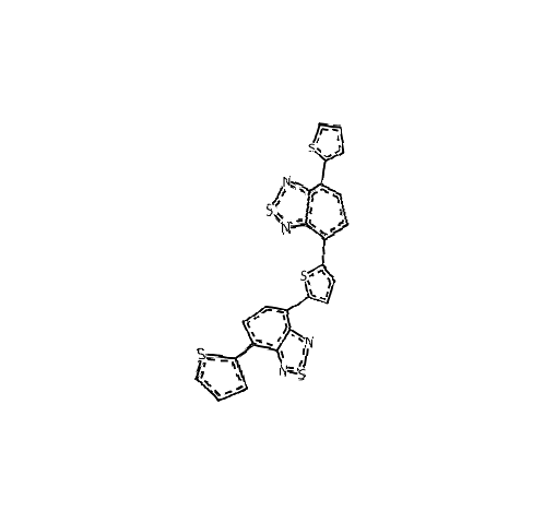 c1csc(-c2ccc(-c3ccc(-c4ccc(-c5cccs5)c5nsnc45)s3)c3nsnc23)c1